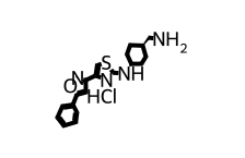 Cl.NC[C@H]1CC[C@H](Nc2nc(-c3cc(-c4ccccc4)on3)cs2)CC1